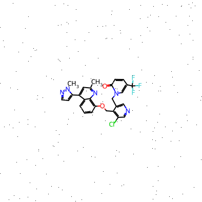 Cc1cc(-c2ccnn2C)c2cccc(OCc3c(Cl)cncc3Cn3cc(C(F)(F)F)ccc3=O)c2n1